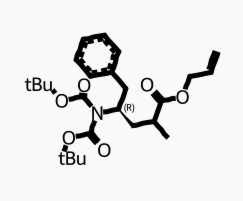 C=CCOC(=O)C(C)C[C@H](Cc1ccccc1)N(C(=O)OC(C)(C)C)C(=O)OC(C)(C)C